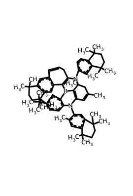 CC1=CC2=C3B(C4=C(CC=Cc5cc6c(cc54)C(C)(C)CCC6(C)C)N(c4ccc5c(c4)C(C)(C)CCC5(C)C)C3(C)C1)c1cc(C(C)(C)C)ccc1N2c1cc2c(cc1C)C(C)(C)CCC2(C)C